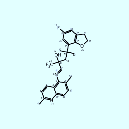 Cc1ccc2c(/N=C/C(O)(CC(C)(C)c3cc(F)cc4c3OCC4)C(F)(F)F)c(C)ccc2n1